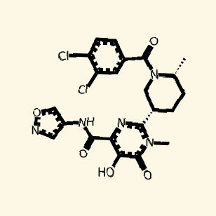 C[C@@H]1CC[C@H](c2nc(C(=O)Nc3cnoc3)c(O)c(=O)n2C)CN1C(=O)c1ccc(Cl)c(Cl)c1